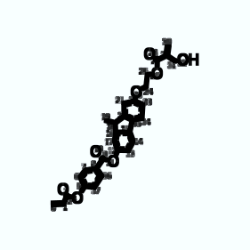 C=CC(=O)Oc1ccc(C(=O)Oc2ccc3c(c2)C(C)c2cc(OCCOC(=O)C(=C)CO)ccc2-3)cc1